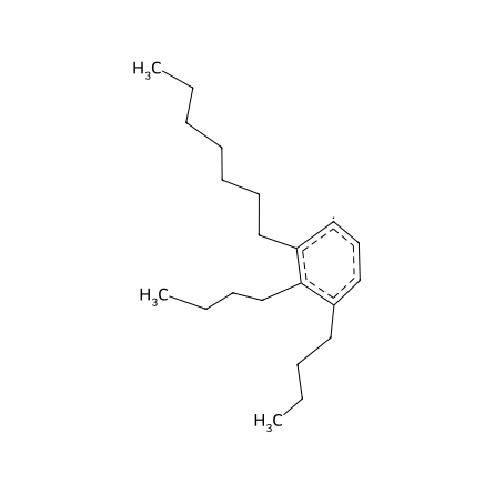 CCCCCCCc1[c]ccc(CCCC)c1CCCC